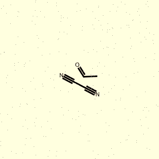 CC=O.N#CC#N